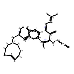 C=C=NN/C(C(=C)/C=C\C=C(C)C)=C(\C)c1ccc(=C)/c(=C\C(=C/C)CN2CCC/C=C/CCC2)c1